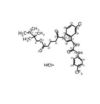 CN(C)C(C)(C)COC(=O)CCCC(=O)n1cc(NC(=O)Nc2ccc(C(F)(F)F)cc2)c2cc(Cl)ccc21.Cl